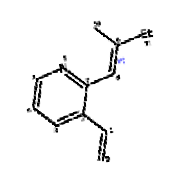 C=Cc1cccnc1/C=C(\C)CC